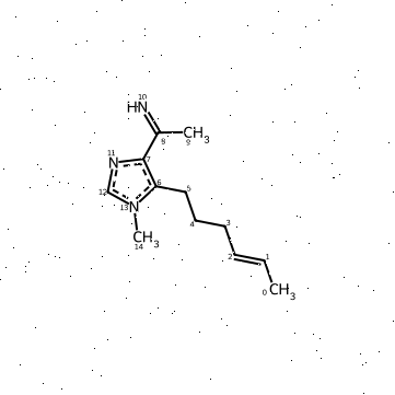 C/C=C/CCCc1c(C(C)=N)ncn1C